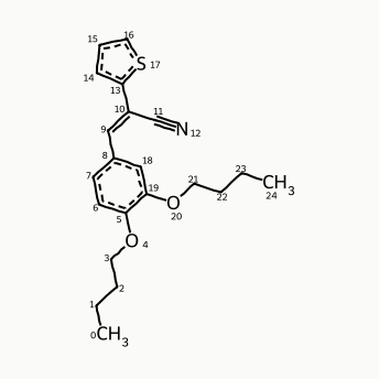 CCCCOc1ccc(/C=C(\C#N)c2cccs2)cc1OCCCC